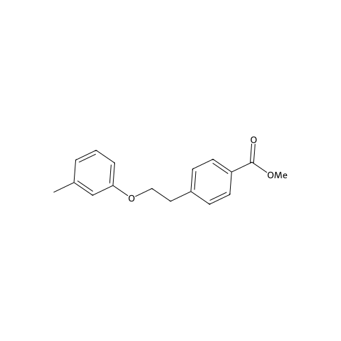 COC(=O)c1ccc(CCOc2cccc(C)c2)cc1